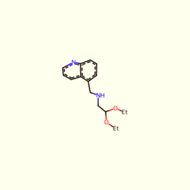 CCOC(CNCc1cccc2ncccc12)OCC